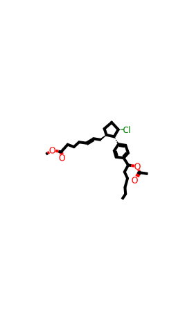 CCCCCC(OC(C)=O)c1ccc([C@@H]2[C@@H](CC=CCCCC(=O)OC)CC[C@@H]2Cl)cc1